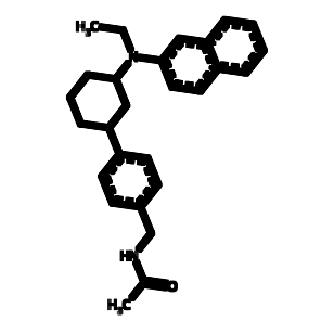 CCN(c1ccc2ccccc2c1)C1CCCC(c2ccc(CNC(C)=O)cc2)C1